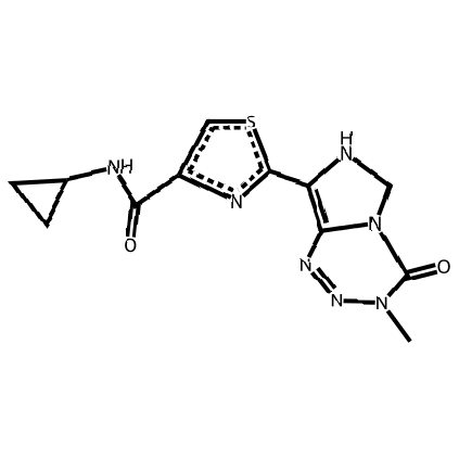 CN1N=NC2=C(c3nc(C(=O)NC4CC4)cs3)NCN2C1=O